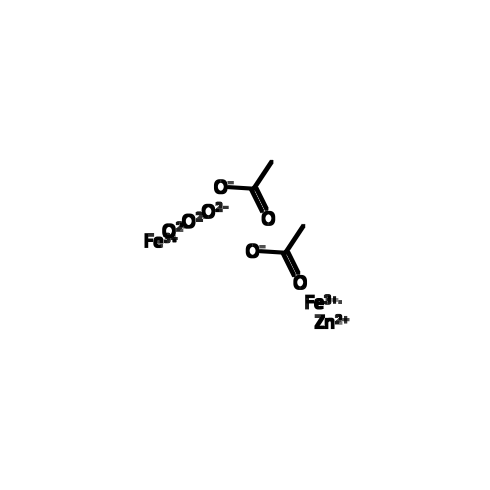 CC(=O)[O-].CC(=O)[O-].[Fe+3].[Fe+3].[O-2].[O-2].[O-2].[Zn+2]